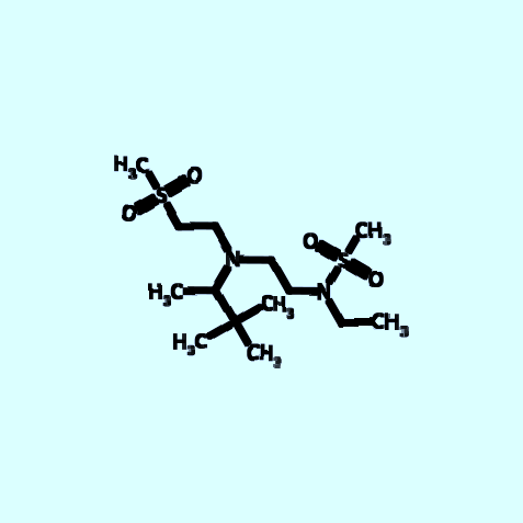 CCN(CCN(CCS(C)(=O)=O)C(C)C(C)(C)C)S(C)(=O)=O